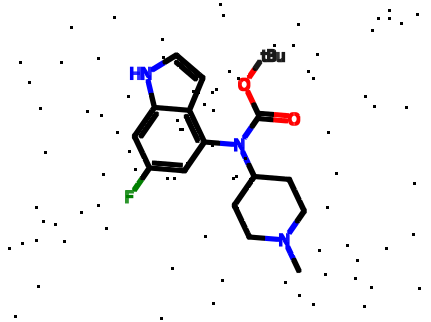 CN1CCC(N(C(=O)OC(C)(C)C)c2cc(F)cc3[nH]ccc23)CC1